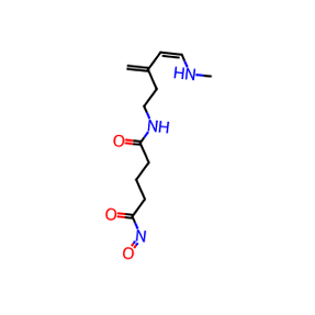 C=C(/C=C\NC)CCNC(=O)CCCC(=O)N=O